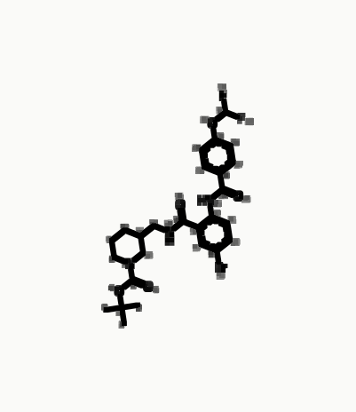 CC(C)(C)OC(=O)N1CCCC(CNC(=O)c2cc(Br)ccc2NC(=O)c2ccc(OC(F)F)cc2)C1